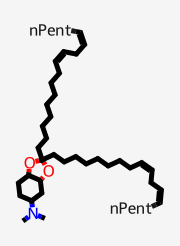 CCCCC/C=C\C/C=C\CCCCCCCCC1(CCCCCCCC/C=C\C/C=C\CCCCC)OC2CCC(N(C)C)CC2O1